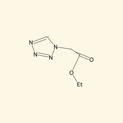 CCOC(=O)Cn1[c]nnn1